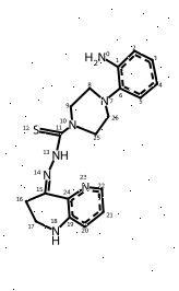 Nc1ccccc1N1CCN(C(=S)N/N=C2/CCNc3cccnc32)CC1